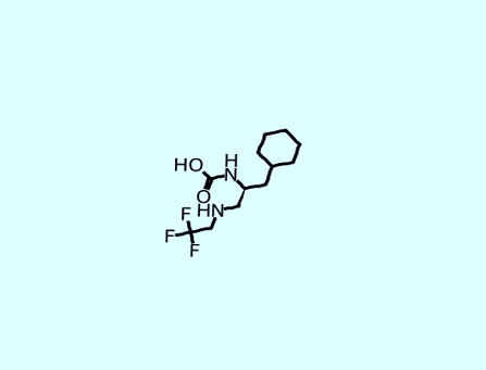 O=C(O)N[C@H](CNCC(F)(F)F)CC1CCCCC1